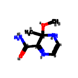 COC1(C)NC=CN=C1C(N)=O